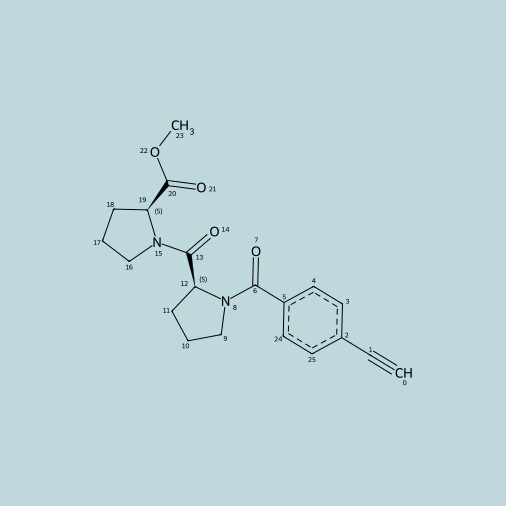 C#Cc1ccc(C(=O)N2CCC[C@H]2C(=O)N2CCC[C@H]2C(=O)OC)cc1